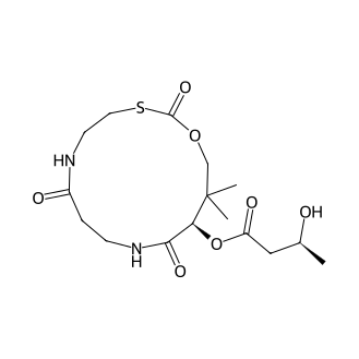 C[C@H](O)CC(=O)O[C@H]1C(=O)NCCC(=O)NCCSC(=O)OCC1(C)C